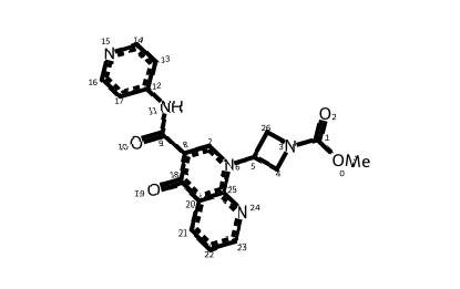 COC(=O)N1CC(n2cc(C(=O)Nc3ccncc3)c(=O)c3cccnc32)C1